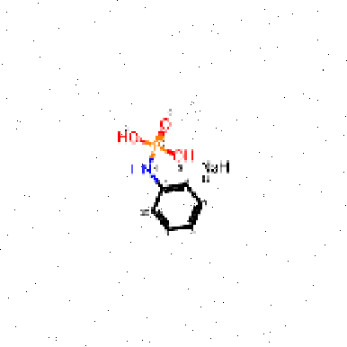 O=P(O)(O)Nc1ccccc1.[NaH]